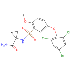 COc1ccc(Oc2c(Cl)cc(Br)cc2Cl)cc1S(=O)(=O)NC1(C(N)=O)CC1